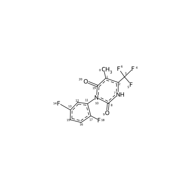 Cc1c(C(F)(F)F)[nH]c(=O)n(-c2cc(F)ccc2F)c1=O